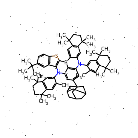 Cc1cc2c(cc1N1c3cc4c(cc3B3c5sc6ccc(C(C)(C)C)cc6c5N(c5cc6c(cc5C)C(C)(C)CCC6(C)C)c5cc(C67CC8CC(CC(C8)C6)C7)cc1c53)C(C)(C)CCC4(C)C)C(C)(C)CCC2(C)C